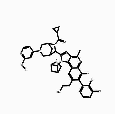 CCOc1cc(N2CC3CC(C2)N(C(=O)C2CC2)C3c2cc3c(C)nc4c(F)c(-c5cccc(Cl)c5Cl)c(CCC#N)cc4c3n2C2C3CNC2C3)ccn1